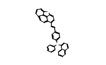 CCn1c2cccc3ccc4c(/C=C/c5ccc(N(c6ccccc6)c6cccc7ccccc67)cc5)ccc1c4c32